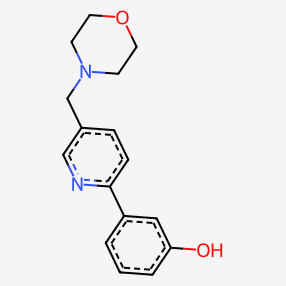 Oc1cccc(-c2ccc(CN3CCOCC3)cn2)c1